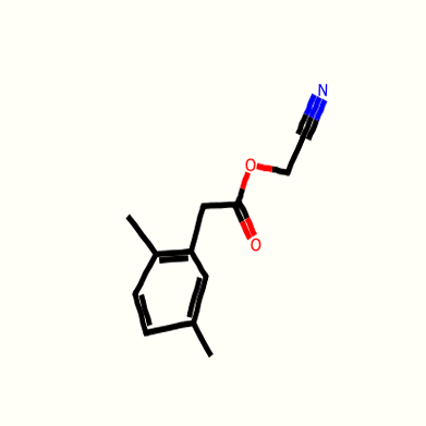 Cc1ccc(C)c(CC(=O)OCC#N)c1